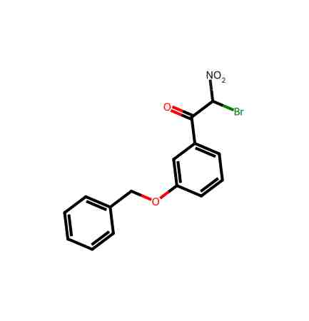 O=C(c1cccc(OCc2ccccc2)c1)C(Br)[N+](=O)[O-]